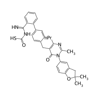 CCCc1nc(C)n(-c2ccc3c(c2)CC(C)(C)O3)c(=O)c1Cc1ccc(-c2ccccc2C(=N)NC(=O)S)cc1